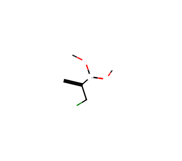 C=C(CBr)[SiH](OC(C)C)OC(C)C